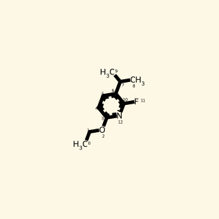 CCOc1ccc(C(C)C)c(F)n1